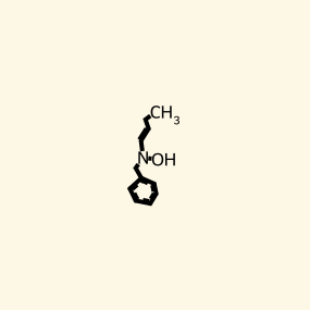 CCC=CN(O)Cc1ccccc1